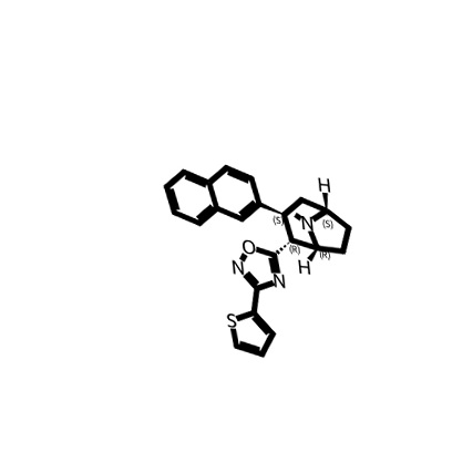 CN1[C@H]2CC[C@@H]1[C@H](c1nc(-c3cccs3)no1)[C@@H](c1ccc3ccccc3c1)C2